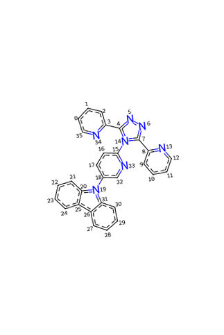 c1ccc(-c2nnc(-c3ccccn3)n2-c2ccc(-n3c4ccccc4c4ccccc43)cn2)nc1